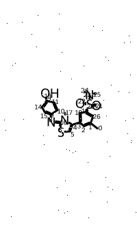 Cc1cc(-c2cs/c(=N/c3ccc(O)cc3)n2C)cc(S(=O)(=O)N(C)C)c1